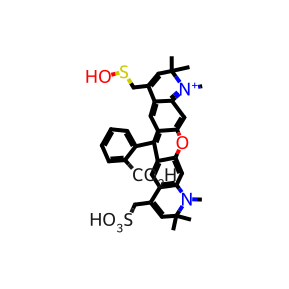 CN1c2cc3c(cc2C(CS(=O)(=O)O)=CC1(C)C)C(c1ccccc1C(=O)O)=c1cc2c(cc1O3)=[N+](C)C(C)(C)C=C2CSO